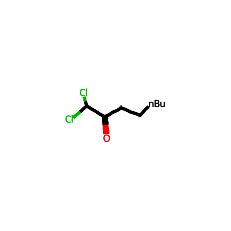 [CH2]CCCC[CH]C(=O)C(Cl)Cl